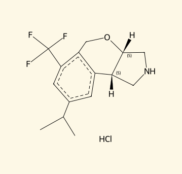 CC(C)c1cc2c(c(C(F)(F)F)c1)CO[C@@H]1CNC[C@H]21.Cl